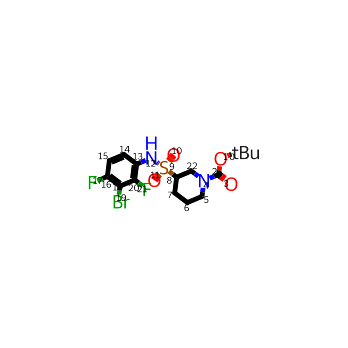 CC(C)(C)OC(=O)N1CCCC(S(=O)(=O)Nc2ccc(F)c(Br)c2F)C1